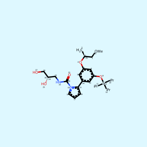 COC[C@H](C)Oc1cc(O[Si](C(C)C)(C(C)C)C(C)C)cc(-c2cccn2C(=O)NC[C@H](O)CO)c1